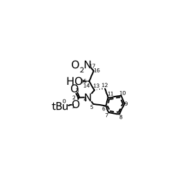 CC(C)(C)OC(=O)N1Cc2ccccc2C[C@H]1[C@@H](O)C[N+](=O)[O-]